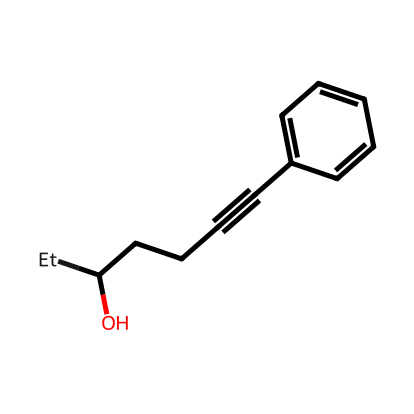 CCC(O)CCC#Cc1ccccc1